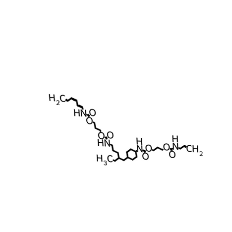 C=C/C=C\C=C\NC(=O)OCCCOC(=O)NCCCC(CC)CC1CCC(NC(=O)OCCCOC(=O)NCC=C)CC1